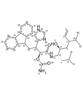 C=CC(C[C@H](O)[C@H](CC(C)C)NC(=O)[C@@H](OC(N)=O)C(CC1c2ccccc2-c2ccccc21)c1c[nH]cn1)C(C)C